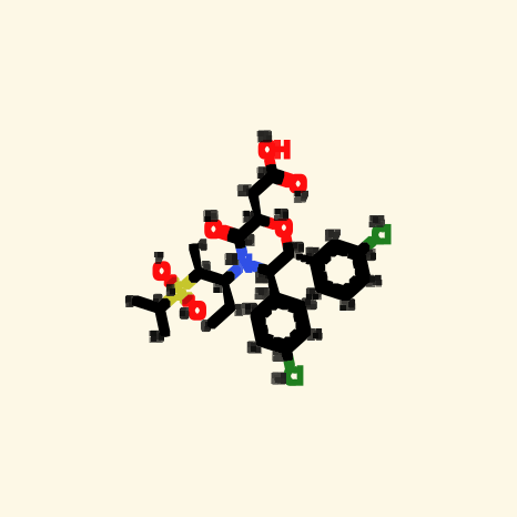 CC[C@@H]([C@H](C)S(=O)(=O)C(C)C)N1C(=O)[C@@H](CC(=O)O)O[C@H](c2cccc(Cl)c2)[C@H]1c1ccc(Cl)cc1